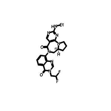 CCNc1ncc2c(n1)N1CCC[C@H]1CN(c1cccc3c(=O)n(CC(F)F)cnc13)C2=O